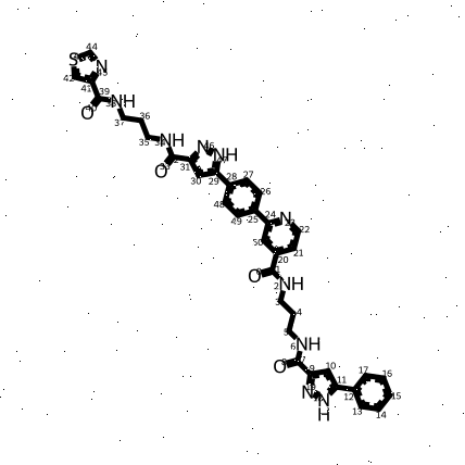 O=C(NCCCNC(=O)c1cc(-c2ccccc2)[nH]n1)c1ccnc(-c2ccc(-c3cc(C(=O)NCCCNC(=O)c4cscn4)n[nH]3)cc2)c1